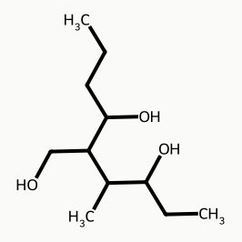 CCCC(O)C(CO)C(C)C(O)CC